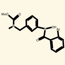 COC(=O)N(C)Cc1cccc(N(O)C(=O)c2ccccc2C(C)=O)c1